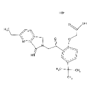 Br.CCc1ccc2c(n1)C(=N)N(CC(=O)c1cc(C(C)(C)C)ccc1OCC(=O)O)C2